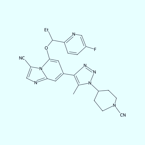 CCC(Oc1cc(-c2nnn(C3CCN(C#N)CC3)c2C)cc2ncc(C#N)n12)c1ccc(F)cn1